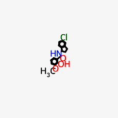 COc1cccc(C(=O)N[C@@H]2CCc3cc(Cl)ccc32)c1O